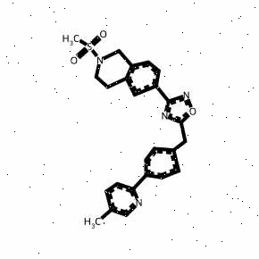 Cc1ccc(-c2ccc(Cc3nc(-c4ccc5c(c4)CCN(S(C)(=O)=O)C5)no3)cc2)nc1